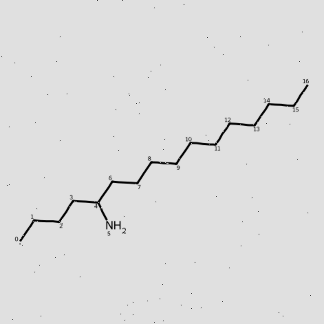 [CH2]CCCC(N)CCCCCCCCCCC